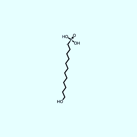 O=P(O)(O)[CH]CCCCCCCCCCCO